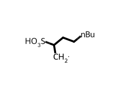 [CH2]C(CCCCCC)S(=O)(=O)O